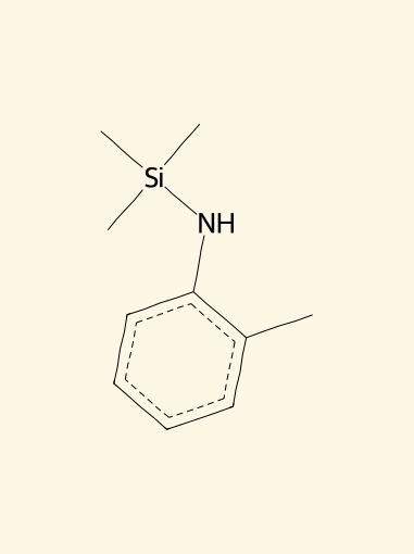 Cc1ccccc1N[Si](C)(C)C